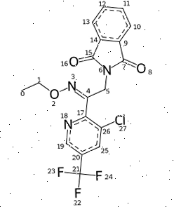 CCON=C(CN1C(=O)c2ccccc2C1=O)c1ncc(C(F)(F)F)cc1Cl